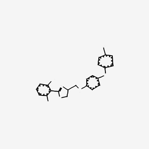 CSc1ccc(Oc2ccc(OCC3COC(c4c(F)cccc4F)=N3)cc2)cc1